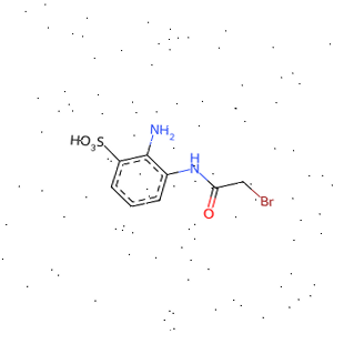 Nc1c(NC(=O)CBr)cccc1S(=O)(=O)O